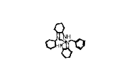 c1ccc(CN[Si](NC2CCCCC2)(NC2CCCCC2)NC2CCCCC2)cc1